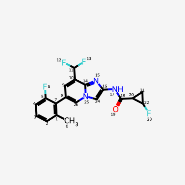 Cc1cccc(F)c1-c1cc(C(F)F)c2nc(NC(=O)C3CC3F)cn2c1